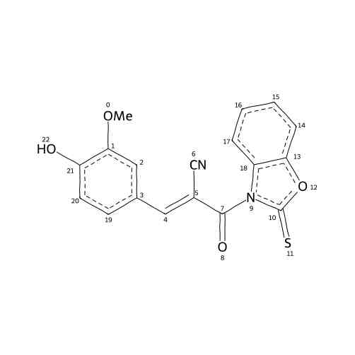 COc1cc(/C=C(\C#N)C(=O)n2c(=S)oc3ccccc32)ccc1O